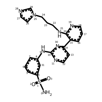 NS(=O)(=O)c1cccc(Nc2nccc(-c3cccnc3NCCCn3ccnc3)n2)c1